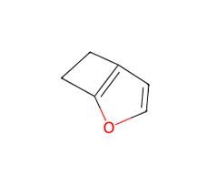 c1cc2c(o1)CC2